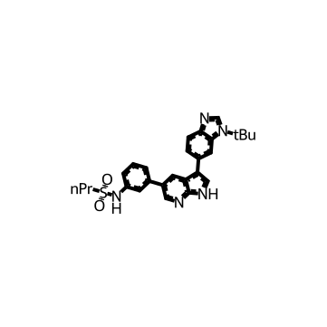 CCCS(=O)(=O)Nc1cccc(-c2cnc3[nH]cc(-c4ccc5ncn(C(C)(C)C)c5c4)c3c2)c1